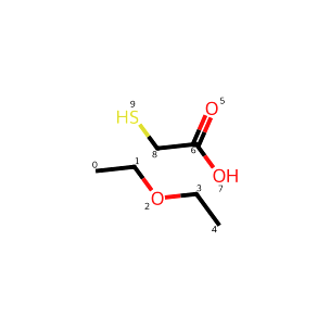 CCOCC.O=C(O)CS